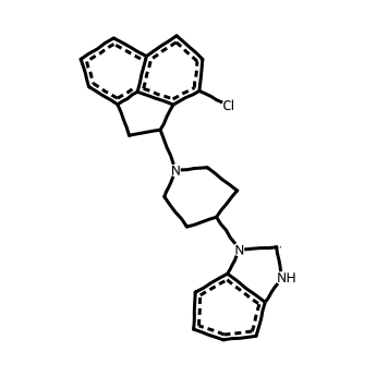 Clc1ccc2cccc3c2c1C(N1CCC(N2[CH]Nc4ccccc42)CC1)C3